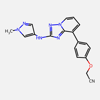 Cn1cc(Nc2nc3c(-c4ccc(OCC#N)cc4)cccn3n2)cn1